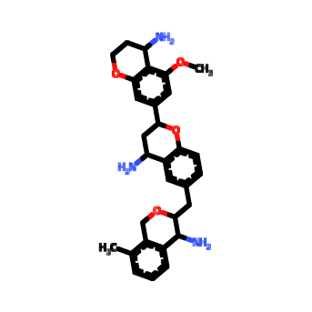 COc1cc(C2CC(N)c3cc(CC4OCc5c(C)cccc5C4N)ccc3O2)cc2c1C(N)CCO2